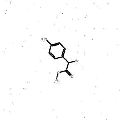 CC(C)(C)OC(=O)C(Br)c1ccc(N)cc1